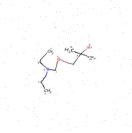 CCN(CC)COCC(C)(C)O